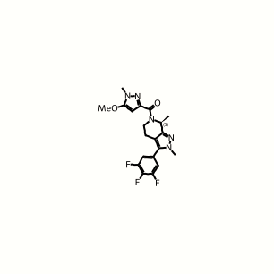 COc1cc(C(=O)N2CCc3c(nn(C)c3-c3cc(F)c(F)c(F)c3)[C@@H]2C)nn1C